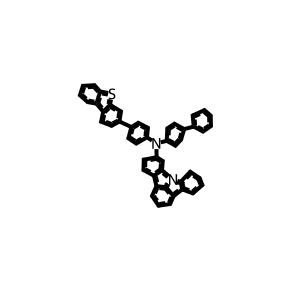 c1ccc(-c2ccc(N(c3ccc(-c4ccc5c(c4)sc4ccccc45)cc3)c3ccc4c5cccc6c7ccccc7n(c4c3)c65)cc2)cc1